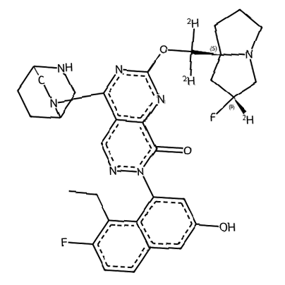 [2H]C([2H])(Oc1nc(N2CC3CCC2CN3)c2cnn(-c3cc(O)cc4ccc(F)c(CC)c34)c(=O)c2n1)[C@@]12CCCN1C[C@]([2H])(F)C2